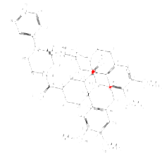 CCN1CCc2cc(OC)c(OC)cc2C1C1CC(C(=O)N2CCN(c3ccncc3)CC2)CCC12c1cc(OC)c(OC)cc1CCN2C(=O)CCNC